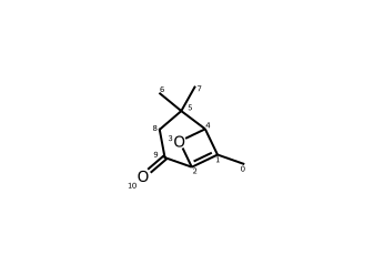 CC1=C2OC1C(C)(C)CC2=O